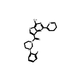 O=C(c1csc2c(O)nc(C3=CCCC=N3)nc12)N1CCC[C@H](c2ccccc2F)C1